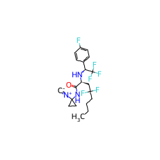 [C-]#[N+]C1(NC(=O)[C@H](CC(F)(F)CCCC)N[C@@H](c2ccc(F)cc2)C(F)(F)F)CC1